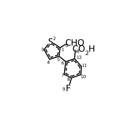 O=Cc1sccc1-c1cc(F)ccc1C(=O)O